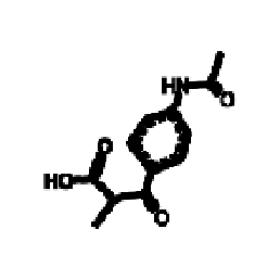 CC(=O)Nc1ccc(C(=O)C(C)C(=O)O)cc1